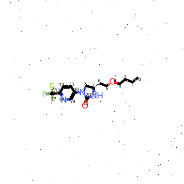 CCCCOCC[C@H]1CN(c2ccc(C(F)(F)F)nc2)C(=O)N1